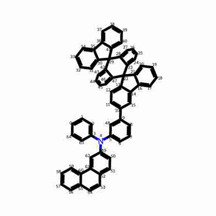 c1ccc(N(c2cccc(-c3ccc4c(c3)-c3ccccc3C43c4ccccc4C4(c5ccccc5-c5ccccc54)c4ccccc43)c2)c2ccc3ccc4ccccc4c3c2)cc1